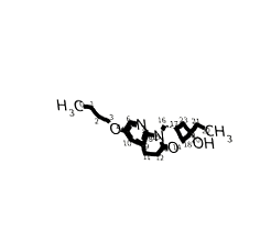 CCCCOc1cnc2c(c1)CCC(=O)N2C[C@H]1C[C@](O)(CC)C1